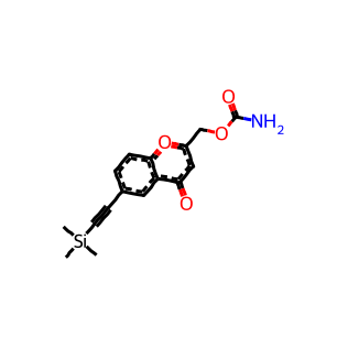 C[Si](C)(C)C#Cc1ccc2oc(COC(N)=O)cc(=O)c2c1